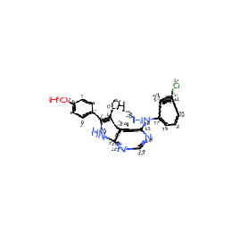 Cc1c(-c2ccc(O)cc2)[nH]c2ncnc(Nc3cccc(Cl)c3)c12